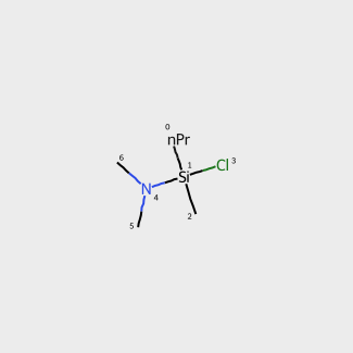 CCC[Si](C)(Cl)N(C)C